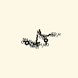 CCCn1c(NC(=O)c2c(CCCCCn3nc(C)cc3C(=O)Nc3nc4cc(C(N)=O)ccc4n3CCCNC(=O)O)c(C)nn2CC)nc2cc(C(N)=O)ccc21